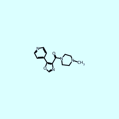 CN1CCN(C(=O)c2ncoc2-c2ccncc2)CC1